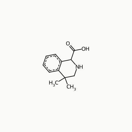 CC1(C)CNC(C(=O)O)c2ccccc21